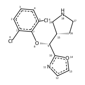 Clc1cccc(Cl)c1O[C@@H](c1ncco1)[C@H]1CCNC1